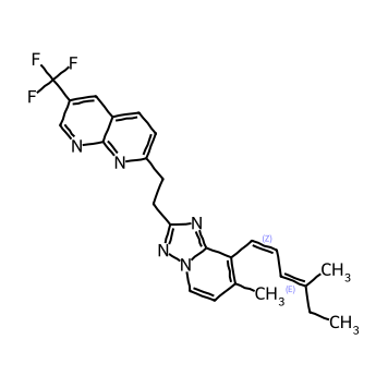 CC/C(C)=C/C=C\c1c(C)ccn2nc(CCc3ccc4cc(C(F)(F)F)cnc4n3)nc12